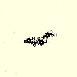 COc1cccc(CNC(=O)c2nc3ccc(Cl)c(OCCc4ccc(C(=O)O)cc4)c3c(=O)[nH]2)c1